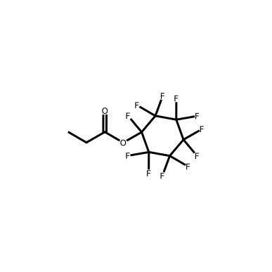 CCC(=O)OC1(F)C(F)(F)C(F)(F)C(F)(F)C(F)(F)C1(F)F